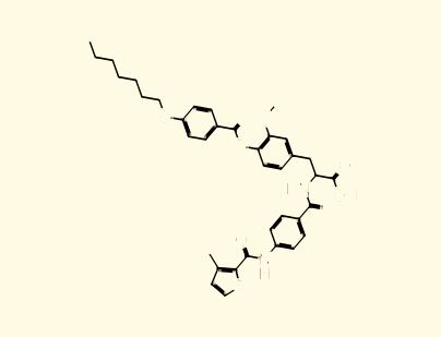 CCCCCCCOc1ccc(C(=O)Oc2ccc(CC(NC(=O)c3ccc(NC(=O)c4sccc4C)cc3)C(=O)O)cc2OC)cc1